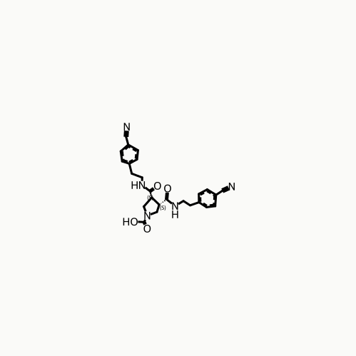 N#Cc1ccc(CCNC(=O)[C@@H]2CN(C(=O)O)C[C@H]2C(=O)NCCc2ccc(C#N)cc2)cc1